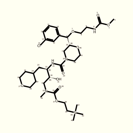 COC(=O)NCCOC(c1cccc(Cl)c1)[C@H]1CN(C(=O)N[C@H](CC2CCOCC2)[C@H](O)CN(C)C(=O)OCC[Si](C)(C)C)CCO1